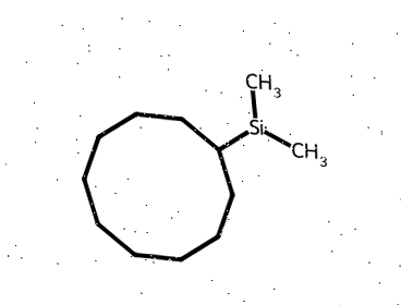 C[Si](C)C1CCCCCCCCC1